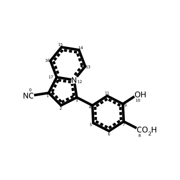 N#Cc1cc(-c2ccc(C(=O)O)c(O)c2)n2ccccc12